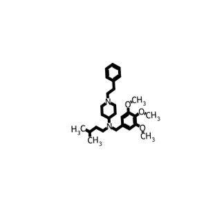 COc1cc(CN(CCC(C)C)C2CCN(CCc3ccccc3)CC2)cc(OC)c1OC